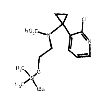 CC(C)(C)[Si](C)(C)OCCN(C(=O)O)C1(c2cccnc2Cl)CC1